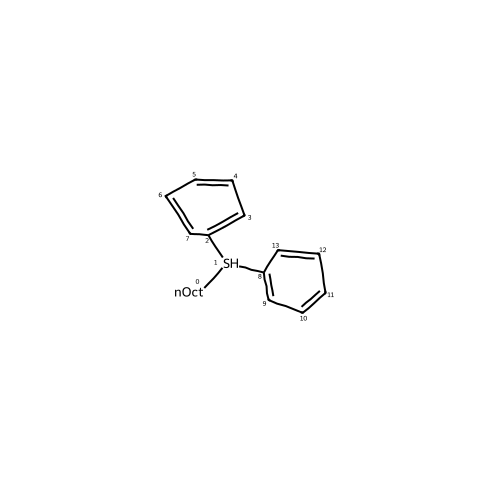 CCCCCCCC[SH](c1ccccc1)c1ccccc1